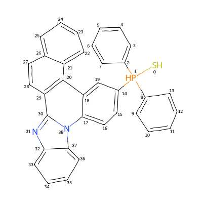 S[PH](c1ccccc1)(c1ccccc1)c1ccc2c(c1)c1c3ccccc3ccc1c1nc3ccccc3n21